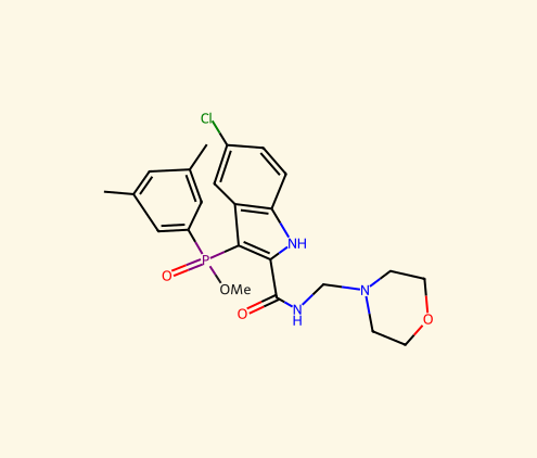 COP(=O)(c1cc(C)cc(C)c1)c1c(C(=O)NCN2CCOCC2)[nH]c2ccc(Cl)cc12